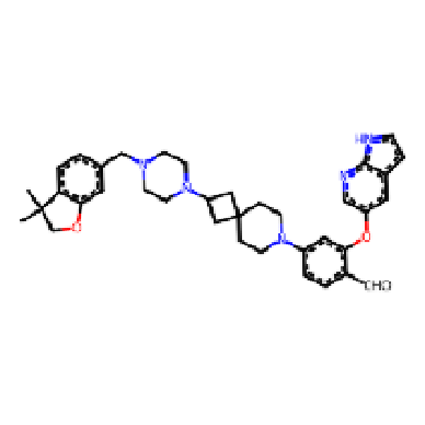 CC1(C)COc2cc(CN3CCN(C4CC5(CCN(c6ccc(C=O)c(Oc7cnc8[nH]ccc8c7)c6)CC5)C4)CC3)ccc21